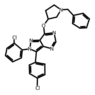 Clc1ccc(-c2c3ncnc(OC4CCN(Cc5ccccc5)C4)c3nn2-c2ccccc2Cl)cc1